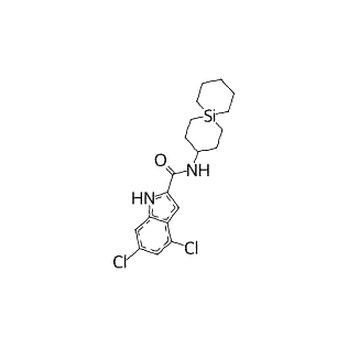 O=C(NC1CC[Si]2(CCCCC2)CC1)c1cc2c(Cl)cc(Cl)cc2[nH]1